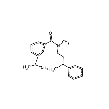 CC(C)c1cccc(C(=O)N(C)CCC(C)c2ccccc2)c1